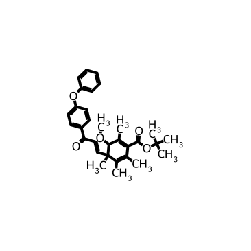 COC1C(C)=C(C(=O)OC(C)(C)C)C(C)=C(C)C1(C)C=CC(=O)c1ccc(Oc2ccccc2)cc1